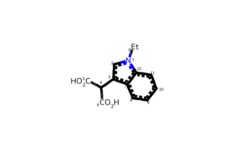 CCn1cc(C(C(=O)O)C(=O)O)c2ccccc21